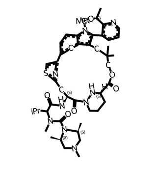 CCn1c(-c2cccnc2[C@H](C)OC)c2c3cc(ccc31)-c1csc(n1)C[C@H](NC(=O)C(C(C)C)N(C)C(=O)N1[C@H](C)CN(C)C[C@@H]1C)C(=O)N1CCC[C@H](N1)C(=O)OCC(C)(C)C2